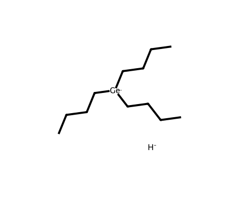 CCC[CH2][Ge]([CH2]CCC)[CH2]CCC.[H-]